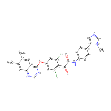 COc1cc2ncnc(Oc3cc(F)c(C(=O)C(=O)Nc4ccc(-c5cncn5C)cc4)c(F)c3)c2cc1OC